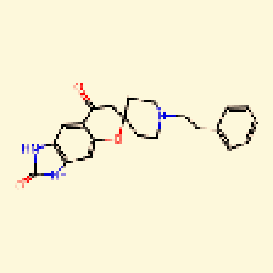 O=C1CC2(CCN(CCc3ccccc3)CC2)Oc2cc3[nH]c(=O)[nH]c3cc21